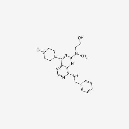 CN(CCO)c1nc(N2CC[S+]([O-])CC2)c2ncnc(NCc3ccccc3)c2n1